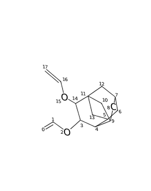 C=COC1C2C3CC4CC2CC(C4)(C3)C1OC=C